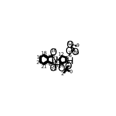 CC1(C)O[C@@H]2[C@@H](COS(C)(=O)=O)C[C@@H](N3C(=O)c4ccccc4C3=O)[C@@H]2O1